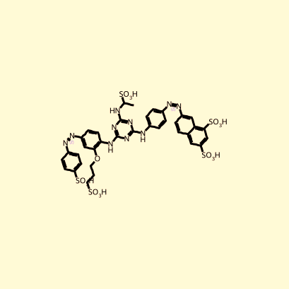 CC(Nc1nc(Nc2ccc(/N=N\c3ccc4cc(S(=O)(=O)O)cc(S(=O)(=O)O)c4c3)cc2)nc(Nc2ccc(/N=N\c3ccc(S(=O)(=O)O)cc3)cc2OCCCS(=O)(=O)O)n1)S(=O)(=O)O